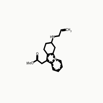 C=CCNC1CCc2c(CC(=O)OC)c3ccccn3c2C1